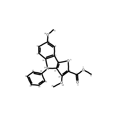 COC(=O)c1oc2c3cc(OC)ccc3n(-c3ccccc3)c2c1OC